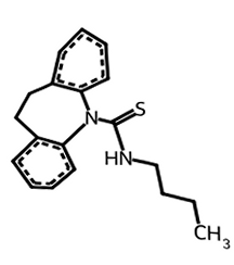 CCCCNC(=S)N1c2ccccc2CCc2ccccc21